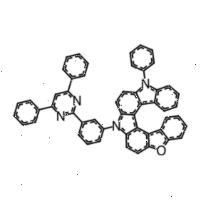 c1ccc(-c2cc(-c3ccccc3)nc(-c3cccc(-n4c5ccc6oc7ccccc7c6c5c5c6c7ccccc7n(-c7ccccc7)c6ccc54)c3)n2)cc1